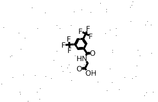 O=C(O)CNC(=O)c1cc(C(F)(F)F)cc(C(F)(F)F)c1